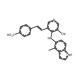 Cc1c(Nc2c(C#N)cncc2C=Cc2ccc(C(=O)O)cc2)ccc2[nH]ccc12